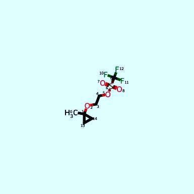 CC1(OCCOS(=O)(=O)C(F)(F)F)CC1